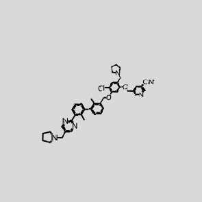 Cc1c(COc2cc(OCc3cncc(C#N)c3)c(CN3CCCC3)cc2Cl)cccc1-c1cccc(-c2ncc(CN3CCCC3)cn2)c1C